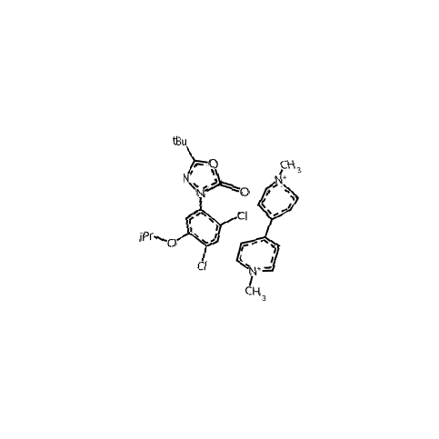 CC(C)Oc1cc(-n2nc(C(C)(C)C)oc2=O)c(Cl)cc1Cl.C[n+]1ccc(-c2cc[n+](C)cc2)cc1